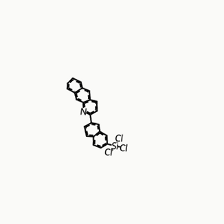 Cl[Si](Cl)(Cl)c1ccc2ccc(-c3ccc4cc5ccccc5cc4n3)cc2c1